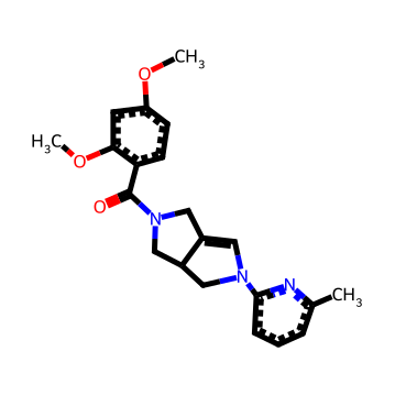 COc1ccc(C(=O)N2CC3=CN(c4cccc(C)n4)CC3C2)c(OC)c1